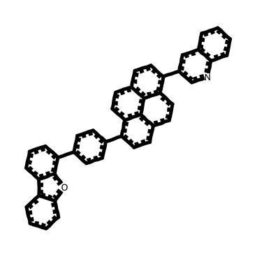 c1ccc2ncc(-c3ccc4ccc5c(-c6ccc(-c7cccc8c7oc7ccccc78)cc6)ccc6ccc3c4c65)cc2c1